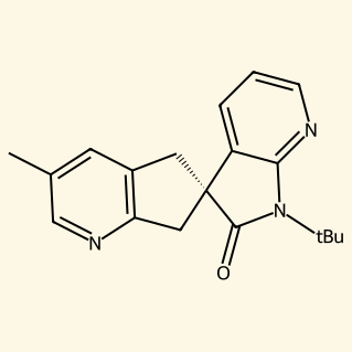 Cc1cnc2c(c1)C[C@@]1(C2)C(=O)N(C(C)(C)C)c2ncccc21